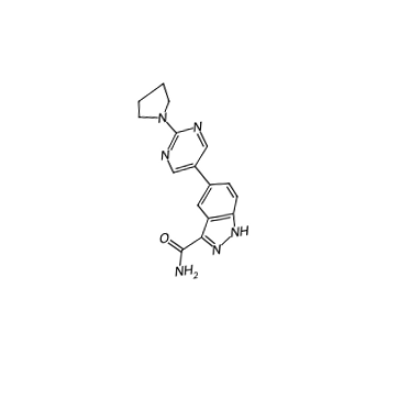 NC(=O)c1n[nH]c2ccc(-c3cnc(N4CCCC4)nc3)cc12